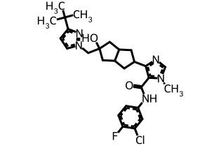 Cn1cnc(C2CC3CC(O)(Cn4ccc(C(C)(C)C)n4)CC3C2)c1C(=O)Nc1ccc(F)c(Cl)c1